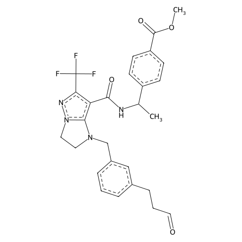 COC(=O)c1ccc(C(C)NC(=O)c2c(C(F)(F)F)nn3c2N(Cc2cccc(CCC=O)c2)CC3)cc1